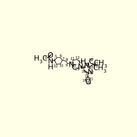 CC(=O)NC1CCC(CCN2CCCN(c3cc(C4COC4)nc(C(C)(C)C)n3)CC2)CC1